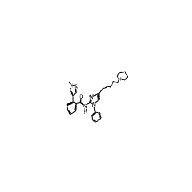 Cn1cc(-c2ccccc2C(=O)Nc2nc(CCCCN3CCCCC3)cn2-c2ccccc2)cn1